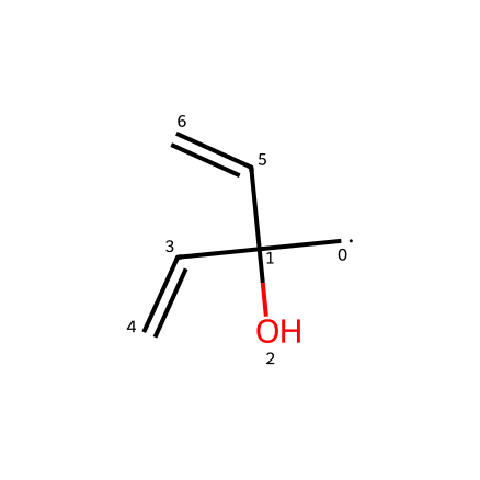 [CH2]C(O)(C=C)C=C